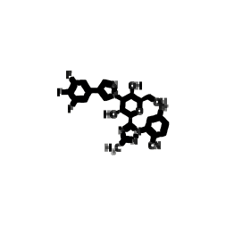 Cc1nc([C@@H]2O[C@H](CO)[C@H](O)[C@H](n3cc(-c4cc(F)c(F)c(F)c4)cn3)[C@H]2O)n(-c2cc(Br)ccc2C#N)n1